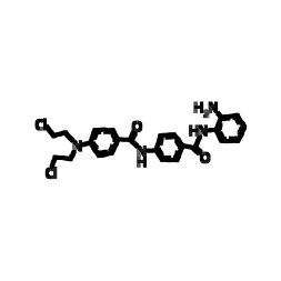 Nc1ccccc1NC(=O)c1ccc(NC(=O)c2ccc(N(CCCl)CCCl)cc2)cc1